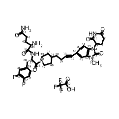 Cn1c(=O)n(C2CCC(=O)NC2=O)c2ccc(C#CCCC3CCN(C(=O)[C@H](Cc4ccc(F)c(F)c4)NC(=O)[C@@H](N)CCC(N)=O)CC3)cc21.O=C(O)C(F)(F)F